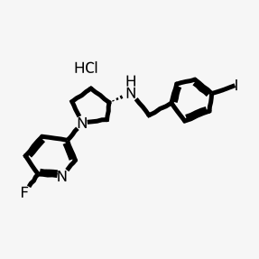 Cl.Fc1ccc(N2CC[C@H](NCc3ccc(I)cc3)C2)cn1